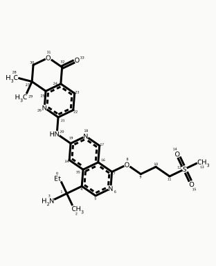 CCC(C)(N)c1cnc(OCCCS(C)(=O)=O)c2cnc(Nc3ccc4c(n3)C(C)(C)COC4=O)cc12